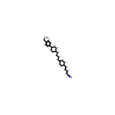 CCc1ccc(C2CCC(CCCCC3CCC(C=CC=CC#N)CC3)CC2)cc1